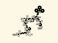 CC(C)C[C@H](NC(=O)CNC(=O)[C@H](CC(C)C)NC(=O)[C@H](CCC(=O)NC(c1ccccc1)(c1ccccc1)c1ccccc1)NC(=O)CNC(=O)[C@@H]1C[C@@H](OC(C)(C)C)CN1)C(=O)N[C@@H](C)C(=O)NCC(=O)N1CCC[C@H]1C(=O)N[C@@H](CCCCNC(=O)OC(C)(C)C)C(=O)O